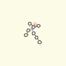 c1ccc(-c2ccc(-c3ccc(N(c4cccc(-c5ccccc5)c4)c4cc5c6ccccc6oc5c5c4sc4ccccc45)cc3)cc2)cc1